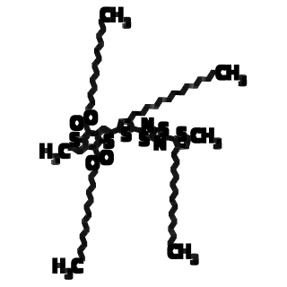 CCCCCCCCCCCCCCOC(=O)c1c2cc(-c3cc(CCCCCCCCCCCCCC)c(-c4nc5sc(-c6sc(C)cc6CCCCCCCCCCCCCC)nc5s4)s3)sc2c(C(=O)OCCCCCCCCCCCCCC)c2cc(C)sc12